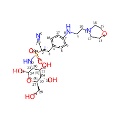 N#C/C(=C\c1ccc(NCCN2CCOCC2)cc1)S(=O)(=O)N[C@H]1C(O)O[C@H](CO)[C@@H](O)[C@@H]1O